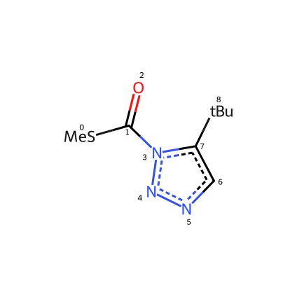 CSC(=O)n1nncc1C(C)(C)C